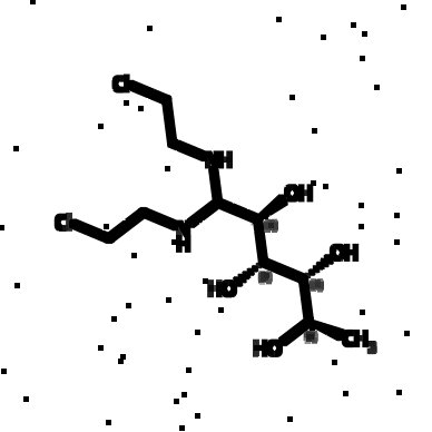 C[C@@H](O)[C@@H](O)[C@H](O)[C@H](O)C(NCCCl)NCCCl